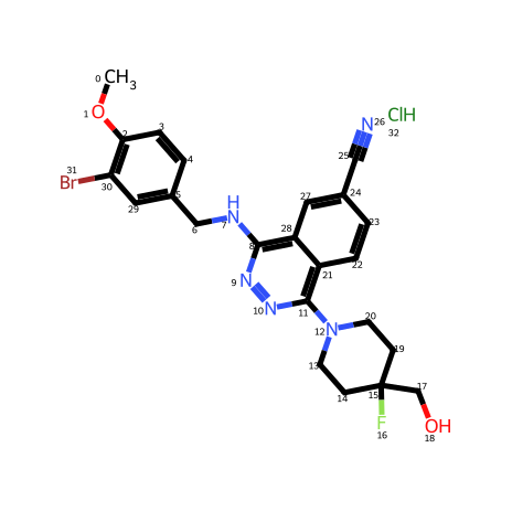 COc1ccc(CNc2nnc(N3CCC(F)(CO)CC3)c3ccc(C#N)cc23)cc1Br.Cl